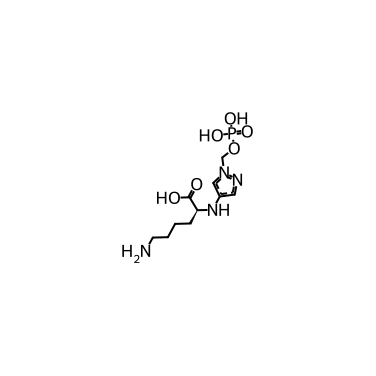 NCCCC[C@H](Nc1cnn(COP(=O)(O)O)c1)C(=O)O